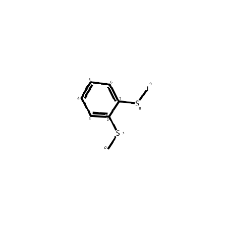 CSc1ccccc1SI